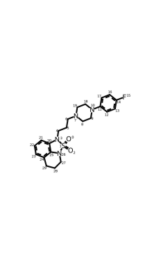 O=S1(=O)N(CCCN2CCN(c3ccc(F)cc3)CC2)c2cccc3c2N1CCC3